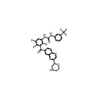 O=C(Nc1cccc(C(F)(F)F)c1)Nc1cc(F)c(F)c(C(=O)c2ccc3ncc(C4CNCCO4)nc3c2)c1F